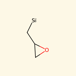 [Si]CC1CO1